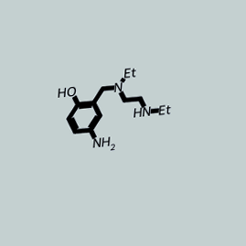 CCNCCN(CC)Cc1cc(N)ccc1O